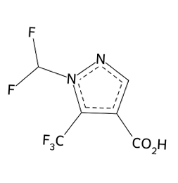 O=C(O)c1cnn(C(F)F)c1C(F)(F)F